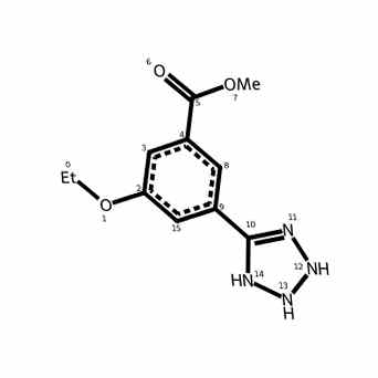 CCOc1cc(C(=O)OC)cc(C2=NNNN2)c1